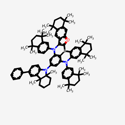 CC1(C)CCC(C)(C)c2cc(N3c4cc5c(cc4B4c6oc7cc8c(cc7c6N(c6ccc7c(c6)C(C)(C)CCC7(C)C)c6cc(N7c9ccc(-c%10ccccc%10)cc9C9(C)CCCCC79C)cc3c64)C(C)(C)CCC8(C)C)C(C)(C)CCC5(C)C)ccc21